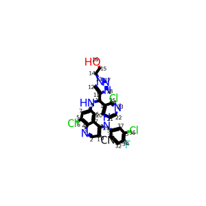 N#Cc1cnc2c(Cl)cc(NC(c3cn(CCO)nn3)c3cccnc3Cl)cc2c1Nc1ccc(F)c(Cl)c1